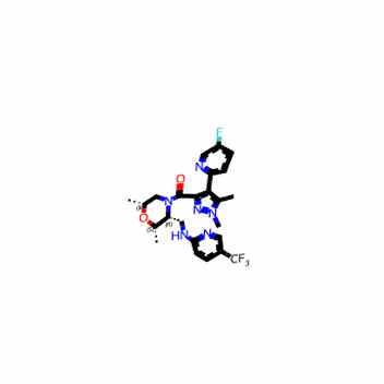 Cc1c(-c2ccc(F)cn2)c(C(=O)N2C[C@@H](C)O[C@@H](C)[C@H]2CNc2ccc(C(F)(F)F)cn2)nn1C